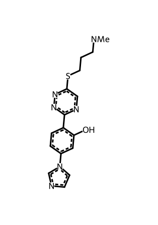 CNCCCSc1cnc(-c2ccc(-n3ccnc3)cc2O)nn1